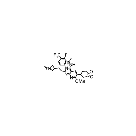 COc1nc2nc(CCC3CN(C(C)C)C3)nc(N[C@H](C)c3cccc(C(F)(F)F)c3F)c2cc1C1CCS(=O)(=O)CC1